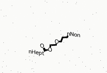 CCCCCCCCCCCCOCCOC(=O)CCCCCCC